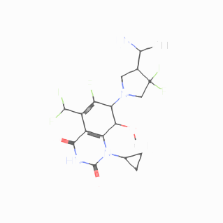 COC1c2c(c(=O)[nH]c(=O)n2C2CC2)C(C(F)F)=C(F)C1N1CC(C(C)N)C(F)(F)C1